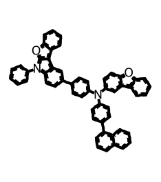 c1ccc(-n2c3ccc(-c4ccc(N(c5ccc(-c6cccc7ccccc67)cc5)c5ccc6oc7ccccc7c6c5)cc4)cc3c3c4ccccc4oc32)cc1